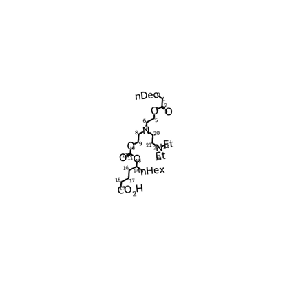 CCCCCCCCCCCC(=O)OCCN(CCOC(=O)OC(CCCCCC)CCCC(=O)O)CCN(CC)CC